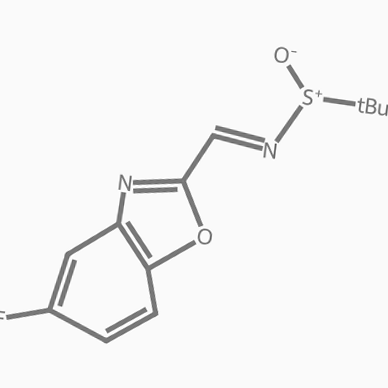 CC(C)(C)[S+]([O-])/N=C/c1nc2cc(F)ccc2o1